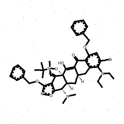 CCN(CC)c1c(Br)cc(OCc2ccccc2)c2c1C[C@H]1C[C@H]3[C@H](N(C)C)c4onc(OCc5ccccc5)c4C(=O)[C@@]3(O[Si](C)(C)C(C)(C)C)C(O)=C1C2=O